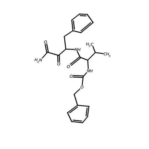 CC(C)C(NC(=O)OCc1ccccc1)C(=O)NC(Cc1ccccc1)C(=O)C(N)=O